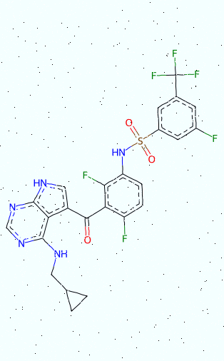 O=C(c1c(F)ccc(NS(=O)(=O)c2cc(F)cc(C(F)(F)F)c2)c1F)c1c[nH]c2ncnc(NCC3CC3)c12